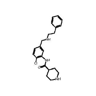 O=C(Nc1cc(CNCCc2ccccc2)ccc1Cl)C1CCNCC1